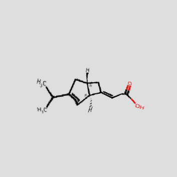 CC(C)C1=C[C@@H]2C(=CC(=O)O)C[C@H]2C1